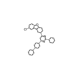 Clc1ccc2oc3ccc(-c4cc(-c5ccc(-c6ccccc6)cc5)nc(-c5ccccc5)n4)cc3c2c1